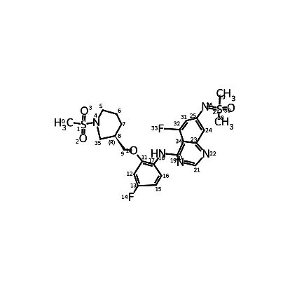 CS(=O)(=O)N1CCC[C@@H](COc2cc(F)ccc2Nc2ncnc3cc(N=S(C)(C)=O)cc(F)c23)C1